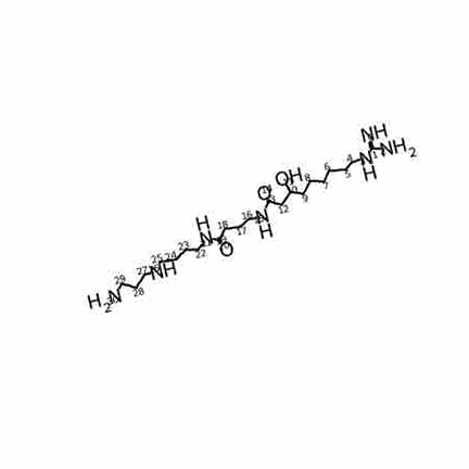 N=C(N)NCCCCCCC(O)CC(=O)NCCCC(=O)NCCCCNCCCN